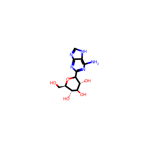 Nc1nc(C2O[C@H](CO)[C@@H](O)[C@H](O)[C@H]2O)nc2nc[nH]c12